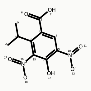 CC(C)c1c(C(=O)O)cc([N+](=O)[O-])c(O)c1[N+](=O)[O-]